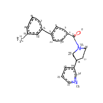 O=C(c1ccc(-c2cccc(C(F)(F)F)c2)cc1)N1CCC(c2cccnc2)C1